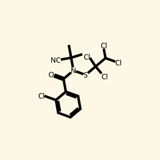 CC(C)(C#N)N(SC(Cl)(Cl)C(Cl)Cl)C(=O)c1ccccc1Cl